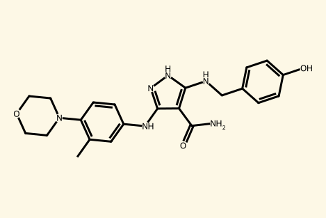 Cc1cc(Nc2n[nH]c(NCc3ccc(O)cc3)c2C(N)=O)ccc1N1CCOCC1